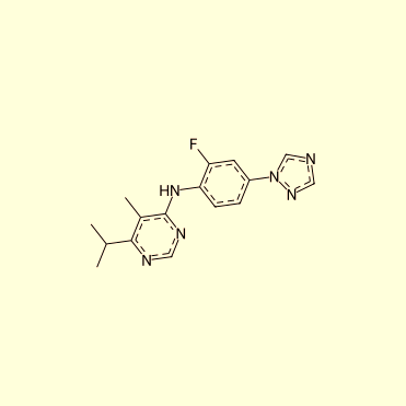 Cc1c(Nc2ccc(-n3cncn3)cc2F)ncnc1C(C)C